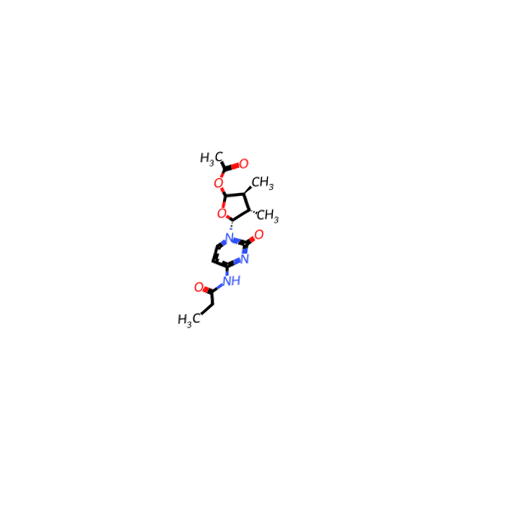 CCC(=O)Nc1ccn([C@@H]2OC(OC(C)=O)[C@@H](C)[C@@H]2C)c(=O)n1